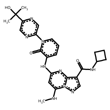 CNc1cc(Nc2cccn(-c3cnc(C(C)(C)O)cn3)c2=O)nc2c(C(=O)NC3CCC3)cnn12